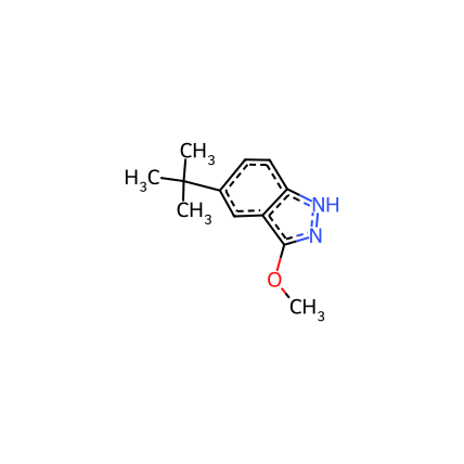 COc1n[nH]c2ccc(C(C)(C)C)cc12